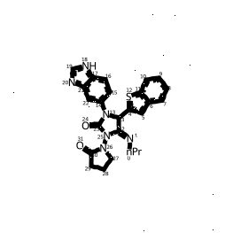 CCCN=C1C(c2cc3ccccc3s2)N(c2ccc3[nH]cnc3c2)C(=O)N1N1CCCC1=O